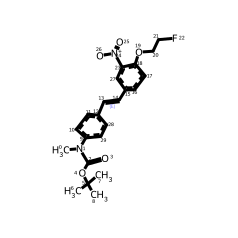 CN(C(=O)OC(C)(C)C)c1ccc(/C=C/c2ccc(OCCF)c([N+](=O)[O-])c2)cc1